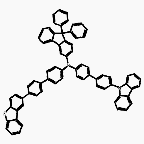 c1ccc(C2(c3ccccc3)c3ccccc3-c3cc(N(c4ccc(-c5ccc(-c6ccc7sc8ccccc8c7c6)cc5)cc4)c4ccc(-c5ccc(-n6c7ccccc7c7ccccc76)cc5)cc4)ccc32)cc1